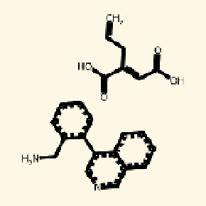 C=CC/C(=C\C(=O)O)C(=O)O.NCc1ccccc1-c1cncc2ccccc12